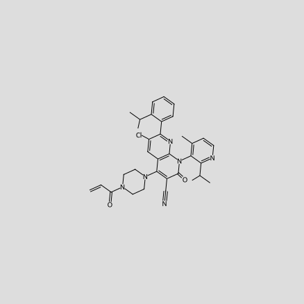 C=CC(=O)N1CCN(c2c(C#N)c(=O)n(-c3c(C)ccnc3C(C)C)c3nc(-c4ccccc4C(C)C)c(Cl)cc23)CC1